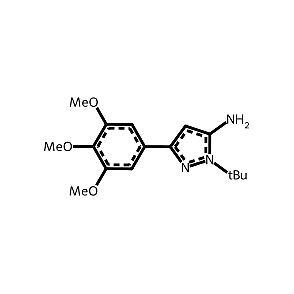 COc1cc(-c2cc(N)n(C(C)(C)C)n2)cc(OC)c1OC